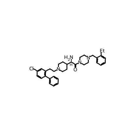 CCc1ccccc1CN1CCN(C(=O)[C@H](N)C2CCN(CCc3cc(Cl)ccc3-c3ccccc3)CC2)CC1